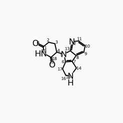 O=C1CCC(n2c3c(c4cccnc42)CNCC3)C(=O)N1